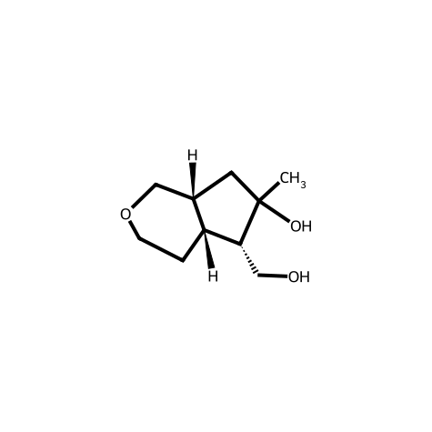 CC1(O)C[C@H]2COCC[C@H]2[C@H]1CO